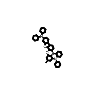 Cc1cc2c3c(c1)N(c1ccccc1)c1ccccc1B3c1ccc3c(oc4cc(N(c5ccccc5)c5ccccc5)ccc43)c1O2